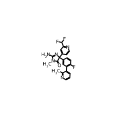 Cc1ncccc1-c1cc(C2(c3ccnc(C(F)F)c3)N=C(N)N(C)C2=O)ccc1F